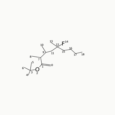 C=C(OC(C)(C)C)C(C)C(C)CC(C)(F)CCCC